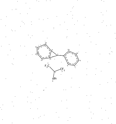 CCCC(C(F)(F)F)C(F)(F)F.c1ccc(C2c3ccccc32)cc1